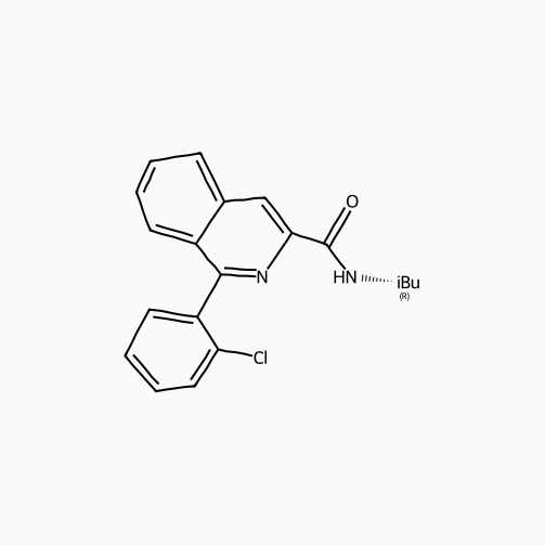 CC[C@@H](C)NC(=O)c1cc2ccccc2c(-c2ccccc2Cl)n1